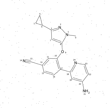 Cn1nc(C2CC2)cc1Oc1cc(C#N)ccc1-c1cc(N)ccn1